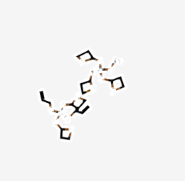 C=CC[S][Sn]([S]CC=C)([S]C1CCS1)[S]C1CCS1.CC(C)[S][Sn]([S]C1CCS1)([S]C1CCS1)[S]C1CCS1